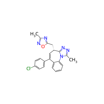 Cc1noc(C[C@H]2C=C(c3ccc(Cl)cc3)c3ccccc3-n3c(C)nnc32)n1